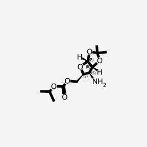 CC(C)OC(=O)OC[C@H]1O[C@@H]2OC(C)(C)O[C@@H]2[C@H]1N